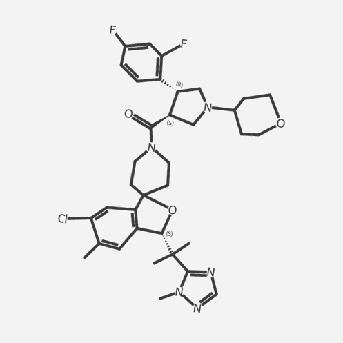 Cc1cc2c(cc1Cl)C1(CCN(C(=O)[C@@H]3CN(C4CCOCC4)C[C@H]3c3ccc(F)cc3F)CC1)O[C@@H]2C(C)(C)c1ncnn1C